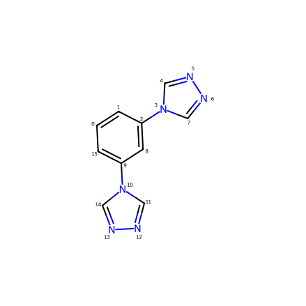 c1cc(-n2cnnc2)cc(-n2cnnc2)c1